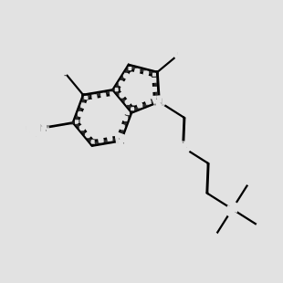 CS(C)(C)CCOCn1c(Cl)cc2c(Cl)c([N+](=O)[O-])cnc21